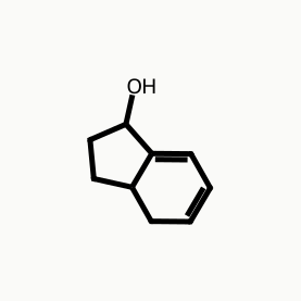 OC1CCC2CC=CC=C12